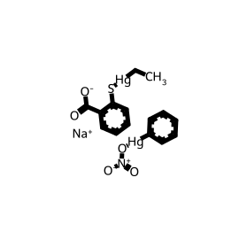 C[CH2][Hg][S]c1ccccc1C(=O)[O-].O=[N+]([O-])[O][Hg][c]1ccccc1.[Na+]